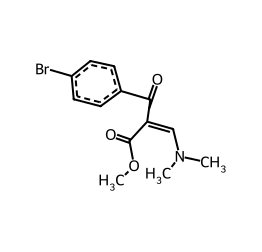 COC(=O)/C(=C\N(C)C)C(=O)c1ccc(Br)cc1